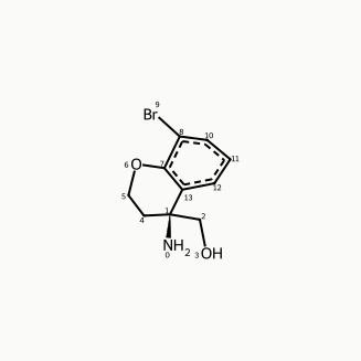 N[C@@]1(CO)CCOc2c(Br)cccc21